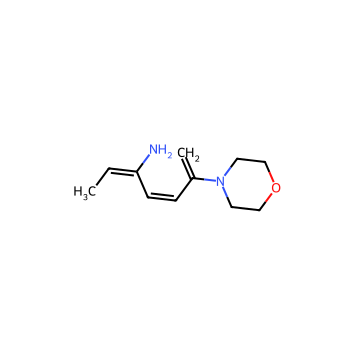 C=C(/C=C\C(N)=C/C)N1CCOCC1